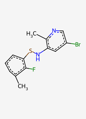 Cc1cccc(SNc2cc(Br)cnc2C)c1F